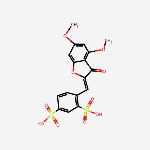 COc1cc(OC)c2c(c1)OC(=Cc1ccc(S(=O)(=O)O)cc1S(=O)(=O)O)C2=O